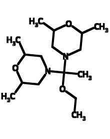 CCOC(C)(N1CC(C)OC(C)C1)N1CC(C)OC(C)C1